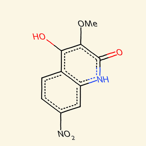 COc1c(O)c2ccc([N+](=O)[O-])cc2[nH]c1=O